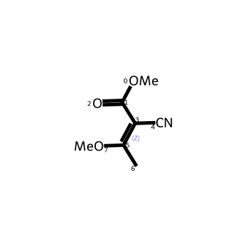 COC(=O)/C(C#N)=C(/C)OC